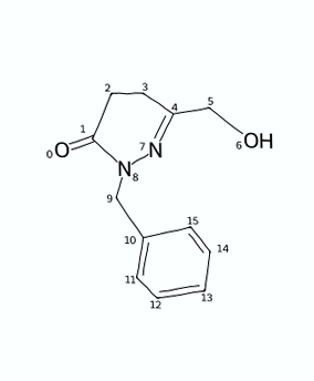 O=C1CCC(CO)=NN1Cc1ccccc1